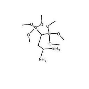 CO[Si](OC)(OC)C(CC(N)[SiH3])[Si](OC)(OC)OC